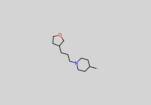 [CH2]C1CCN(CCCC2CCOC2)CC1